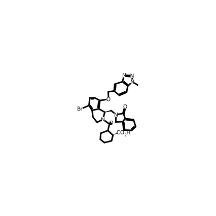 Cn1nnc2cc(COc3ccc(Br)c4c3[C@@H](CN3Cc5ccccc5C3=O)N(C(=O)C3CCCC[C@H]3C(=O)O)CC4)ccc21